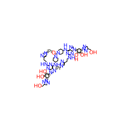 CC(C)n1cnc(CCNc2nc(NC3CCN(C(=O)N4CCC(Nc5nc(NCCc6cn(C(C)C)cn6)nc6c5ncn6[C@@H]5C[C@H](n6ncc(CO)n6)[C@@H](O)[C@H]5O)CC4)CC3)c3ncn([C@@H]4C[C@H](n5ncc(CO)n5)[C@@H](O)[C@H]4O)c3n2)c1